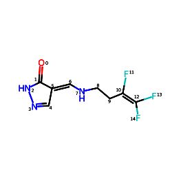 O=C1NN=CC1=CNCCC(F)=C(F)F